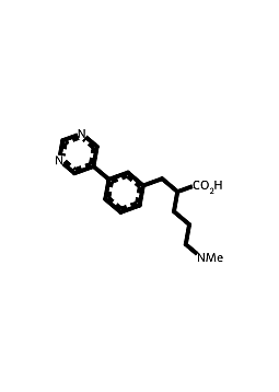 CNCCCC(Cc1cccc(-c2cncnc2)c1)C(=O)O